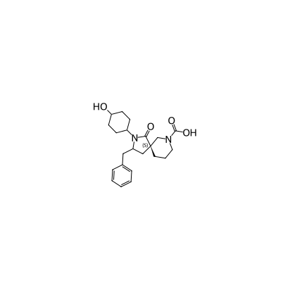 O=C(O)N1CCC[C@]2(CC(Cc3ccccc3)N(C3CCC(O)CC3)C2=O)C1